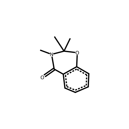 CN1C(=O)c2ccccc2OC1(C)C